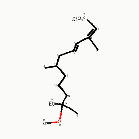 CCOC(=O)C=C(C)C=CCC(C)CCCC(C)(CC)OCC